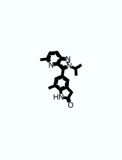 Cc1ccc2nn(C(C)C)c(-c3cc(C)c4c(c3)CC(=O)N4)c2n1